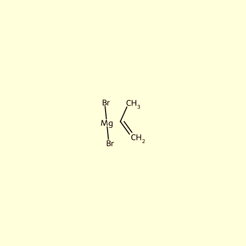 C=CC.[Br][Mg][Br]